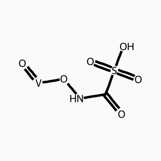 [O]=[V][O]NC(=O)S(=O)(=O)O